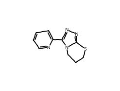 c1ccc(-c2nnc3n2CCCS3)nc1